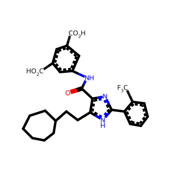 O=C(O)c1cc(NC(=O)c2nc(-c3ccccc3C(F)(F)F)[nH]c2CCC2CCCCCC2)cc(C(=O)O)c1